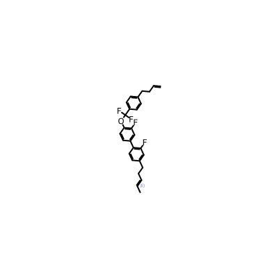 C=CCCc1ccc(C(F)(F)Oc2ccc(-c3ccc(CC/C=C/C)cc3F)cc2F)cc1